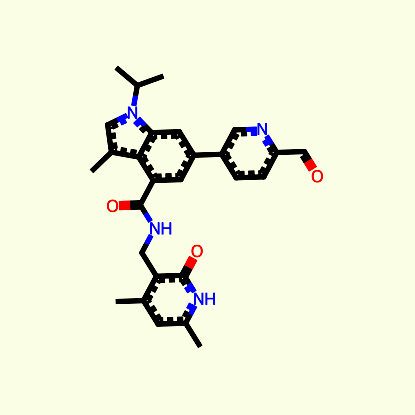 Cc1cc(C)c(CNC(=O)c2cc(-c3ccc(C=O)nc3)cc3c2c(C)cn3C(C)C)c(=O)[nH]1